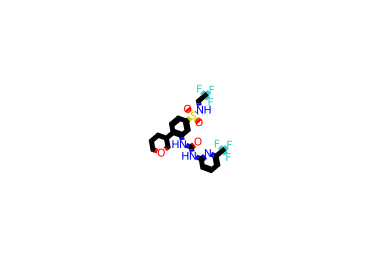 O=C(Nc1cccc(C(F)(F)F)n1)Nc1cc(S(=O)(=O)NCC(F)(F)F)ccc1C1CCCOC1